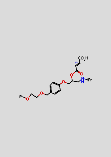 CC(C)NCC(COc1ccc(COCCOC(C)C)cc1)OC(=O)/C=C/C(=O)O